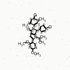 COc1ncc(-c2cc3c(n2C(C)C)C(c2ccc(Cl)cc2)N(c2cn(C)c(=O)cc2C)C3=O)c(OC)n1